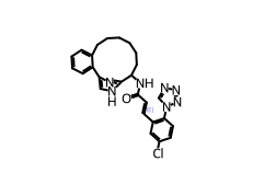 O=C(/C=C/c1cc(Cl)ccc1-n1cnnn1)NC1CCCCCCc2ccccc2-c2c[nH]c1n2